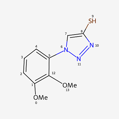 COc1cccc(-n2cc(S)nn2)c1OC